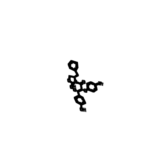 CC(C)c1ccc(O[C@@H](C(=O)N2C(=O)OC[C@H]2Cc2ccccc2)[C@@H](O)c2ccc(O)cc2)cc1